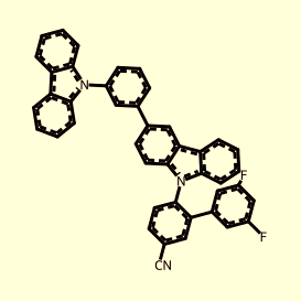 N#Cc1ccc(-n2c3ccccc3c3cc(-c4cccc(-n5c6ccccc6c6ccccc65)c4)ccc32)c(-c2cc(F)cc(F)c2)c1